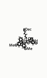 CCCCCCCCCCCCCCCCOC1C(COC(c2ccccc2)(c2ccc(OC)cc2)c2ccc(OC)cc2)OC(n2ccc(=O)[nH]c2=O)C1O